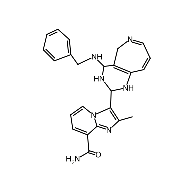 Cc1nc2c(C(N)=O)cccn2c1C1NC2=C(CN=CC=C2)C(NCc2ccccc2)N1